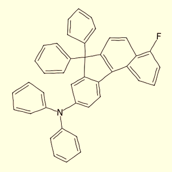 Fc1cccc2c3c(ccc12)C(c1ccccc1)(c1ccccc1)c1cc(N(c2ccccc2)c2ccccc2)ccc1-3